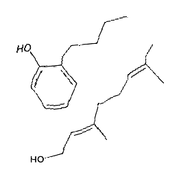 CC(C)=CCC/C(C)=C/CO.CCCCc1ccccc1O